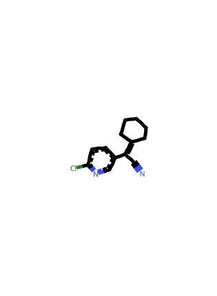 N#CC(=C1CCCCC1)c1ccc(Cl)nc1